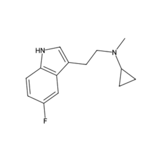 CN(CCc1c[nH]c2ccc(F)cc12)C1CC1